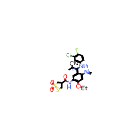 C=Nc1cc(OCC)c(NC(=O)C2CSS(=O)(=O)C2)cc1/C(Nc1ccc(F)c(Cl)c1)=C(\C)C#N